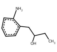 CCC(O)Cc1ccccc1N